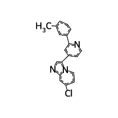 Cc1cccc(-c2cc(-c3cnc4cc(Cl)ccn34)ccn2)c1